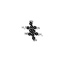 Cc1ccc(N(c2cc(-c3ccc(C#N)cc3)cc(-c3ccc(C#N)cc3)c2)c2ccc3ccc4c(N(c5ccc(C)cc5)c5cc(-c6ccc(C#N)cc6)cc(-c6ccc(C#N)cc6)c5)ccc5ccc2c3c54)cc1